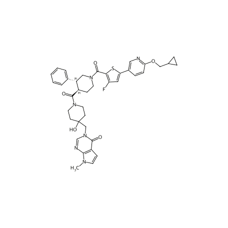 Cn1ccc2c(=O)n(CC3(O)CCN(C(=O)[C@@H]4CCN(C(=O)c5sc(-c6ccc(OCC7CC7)nc6)cc5F)C[C@H]4c4ccccc4)CC3)cnc21